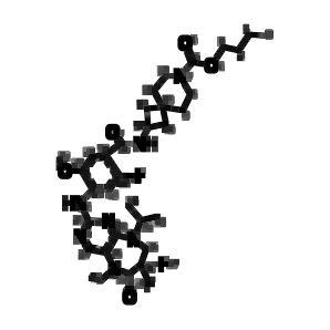 CCCCOC(=O)N1CCC2(CC1)CC(NC(=O)c1cc(OC)c(Nc3ncc4c(n3)N(C(C)C)CC(F)(F)C(=O)N4C)cc1F)C2